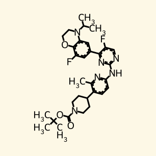 Cc1nc(Nc2ncc(F)c(-c3cc(F)c4c(c3)N(C(C)C)CCO4)n2)ccc1C1CCN(C(=O)OC(C)(C)C)CC1